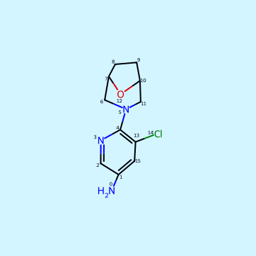 Nc1cnc(N2CC3CCC(C2)O3)c(Cl)c1